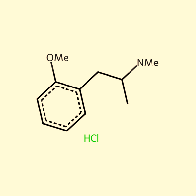 CNC(C)Cc1ccccc1OC.Cl